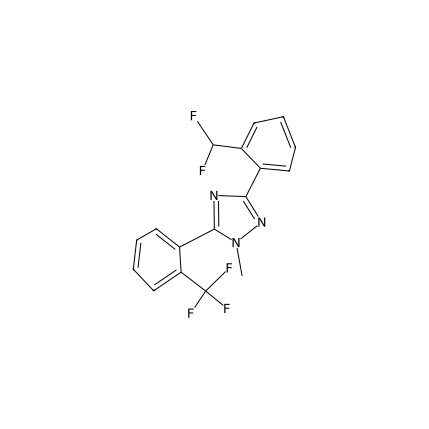 Cn1nc(-c2ccccc2C(F)F)nc1-c1ccccc1C(F)(F)F